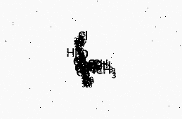 CC(C)C(C)(C)[Si](C)(C)OC1C[C@@H](C(=O)C2=N[C@H](C(=O)NCCc3ccc(Cl)cc3)CO2)N(C(=O)OCc2ccccc2)C1